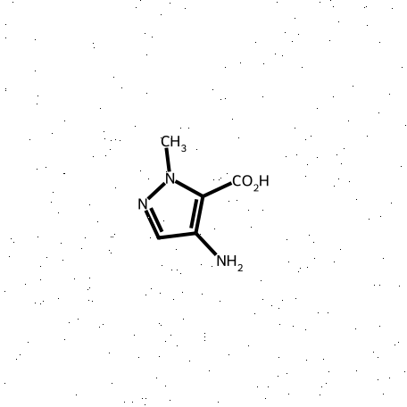 Cn1ncc(N)c1C(=O)O